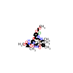 CC[C@@H]1C[C@]1(NC(=O)[C@@H]1C[C@@H](Oc2cc(-c3nc(C(C)C)cs3)nc3c(Cl)c(OCCOC)ccc23)CN1C(=O)[C@@H](NC(=O)O[C@H]1CC[C@@H](C)C1)C(C)(C)C)C(=O)OC